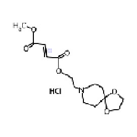 COC(=O)/C=C/C(=O)OCCN1CCC2(CC1)OCCO2.Cl